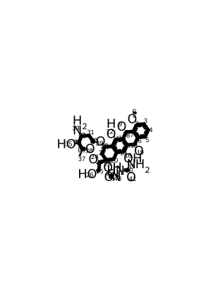 COc1cccc2c1C(=O)c1c(O)c3c(c(O)c1C2=O)C[C@@](O)(C(=O)CO)C[C@@H]3O[C@H]1C[C@H](N)[C@@H](O)[C@H](C)O1.NC(=O)NN=O